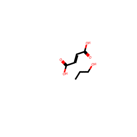 CCCO.O=C(O)C=CC(=O)O